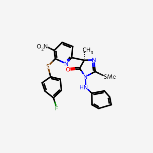 CSC1=N[C@](C)(c2ccc([N+](=O)[O-])c(Sc3ccc(F)cc3)n2)C(=O)N1Nc1ccccc1